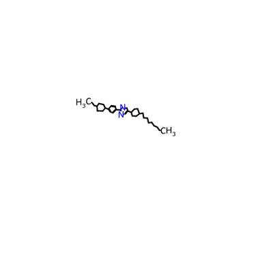 CCCCCCCCCC1CCC(c2cnc(-c3ccc(C4CCC(CCC)CC4)cc3)nc2)CC1